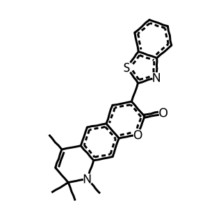 CC1=CC(C)(C)N(C)c2cc3oc(=O)c(-c4nc5ccccc5s4)cc3cc21